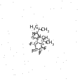 CC(C)c1nsc(-c2c(F)c(F)c(F)c(F)c2C(C)C)n1